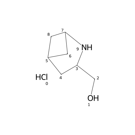 Cl.OCC1CC2CC(C2)N1